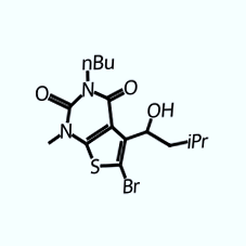 CCCCn1c(=O)c2c(C(O)CC(C)C)c(Br)sc2n(C)c1=O